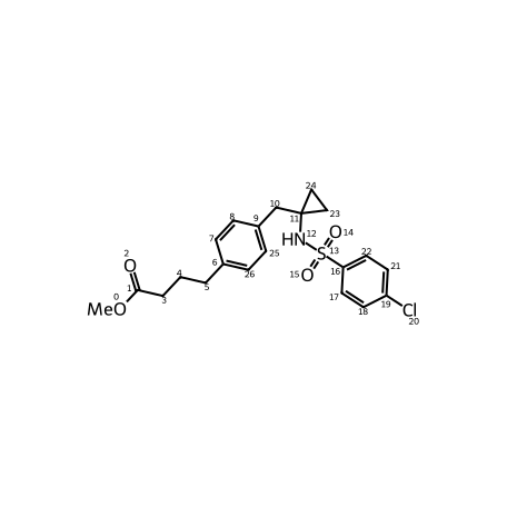 COC(=O)CCCc1ccc(CC2(NS(=O)(=O)c3ccc(Cl)cc3)CC2)cc1